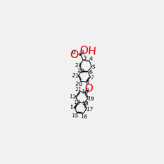 O=C(O)C1CCc2cc(Oc3ccc4ccccc4c3)ccc2C1